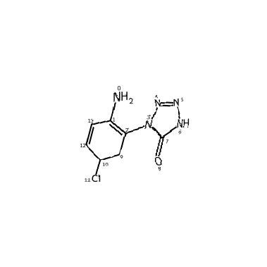 NC1=C(n2nn[nH]c2=O)CC(Cl)C=C1